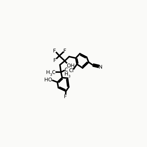 CC(C)(CC(O)(Cc1ccc(C#N)cc1Cl)C(F)(F)F)c1ccc(F)cc1O